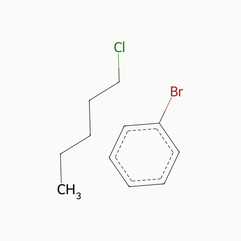 Brc1ccccc1.CCCCCCl